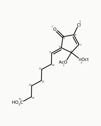 CCCCCCCCC1(OC(C)=O)C=C(Cl)C(=O)/C1=C/CCCCCC(=O)O